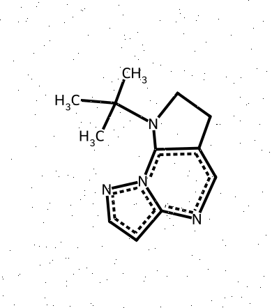 CC(C)(C)N1CCc2cnc3ccnn3c21